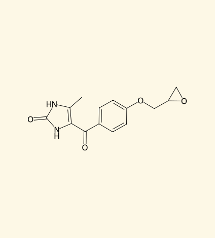 Cc1[nH]c(=O)[nH]c1C(=O)c1ccc(OCC2CO2)cc1